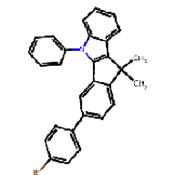 CC1(C)c2ccc(-c3ccc(Br)cc3)cc2-c2c1c1ccccc1n2-c1ccccc1